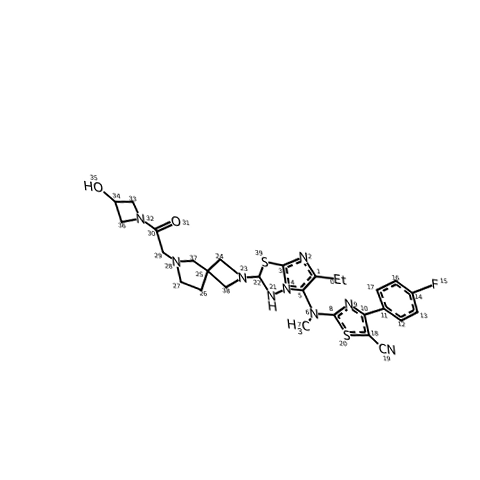 CCc1nc2n(c1N(C)c1nc(-c3ccc(F)cc3)c(C#N)s1)NC(N1CC3(CCN(CC(=O)N4CC(O)C4)C3)C1)S2